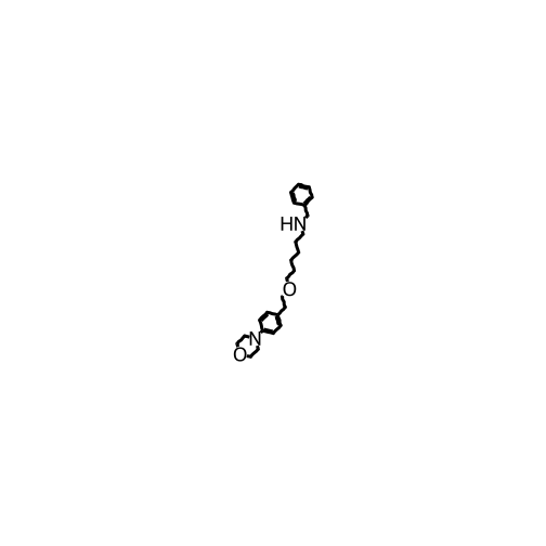 c1ccc(CNCCCCCCOCCc2ccc(N3CCOCC3)cc2)cc1